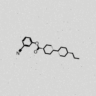 CCC[C@H]1CC[C@H]([C@H]2CC[C@H](C(=O)Oc3cccc(C#N)c3)CC2)CC1